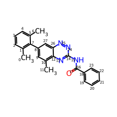 Cc1cccc(C)c1-c1cc(C)c2nc(NC(=O)c3ccccc3)nnc2c1